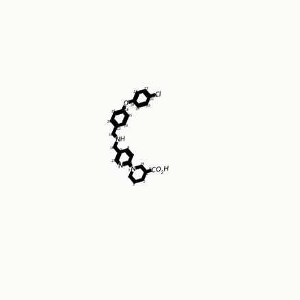 O=C(O)C1CCCN(c2ccc(CNCc3ccc(Oc4ccc(Cl)cc4)cc3)cn2)C1